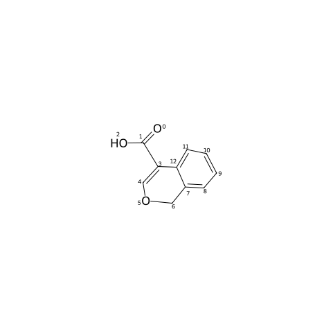 O=C(O)C1=COCc2ccccc21